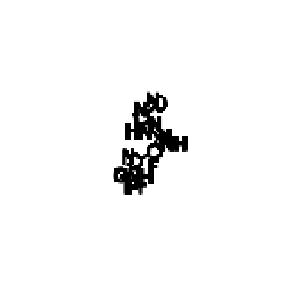 CC(C)C(=O)Nc1cncc(-c2cc3c(-c4nc5c(-c6ccccn6)nccc5[nH]4)n[nH]c3cc2F)c1